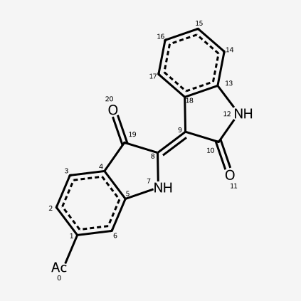 CC(=O)c1ccc2c(c1)N/C(=C1\C(=O)Nc3ccccc31)C2=O